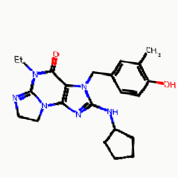 CCN1C(=O)c2c(nc(NC3CCCC3)n2Cc2ccc(O)c(C)c2)N2CCN=C12